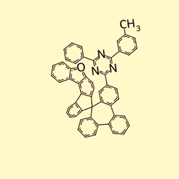 Cc1cccc(-c2nc(-c3ccccc3)nc(-c3ccc4c(c3)C3(c5ccccc5-c5ccccc5-4)c4ccccc4-c4c3ccc3oc5ccccc5c43)n2)c1